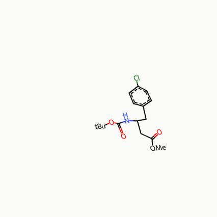 COC(=O)CC(Cc1ccc(Cl)cc1)NC(=O)OC(C)(C)C